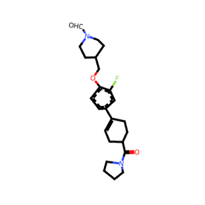 O=CN1CCC(COc2ccc(C3=CCC(C(=O)N4CCCC4)CC3)cc2F)CC1